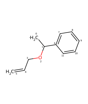 [CH2]C(OCC=C)c1ccccc1